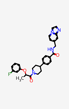 CC(Oc1cccc(F)c1)C(=O)N1CCC(c2ccc(C(=O)NCc3ccn4ccnc4c3)cc2)CC1